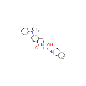 CN(c1ccc2c(c1)CCN(CC(O)CN1CCc3ccccc3C1)C2=O)C1CCCCC1